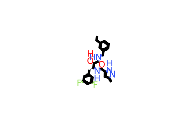 CCc1cccc(CNC[C@H](O)[C@@H](Cc2cc(F)cc(F)c2)NC(=O)c2cc(C)n[nH]2)c1